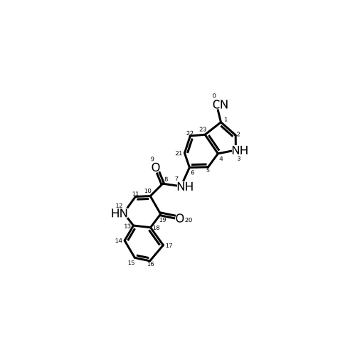 N#Cc1c[nH]c2cc(NC(=O)c3c[nH]c4ccccc4c3=O)ccc12